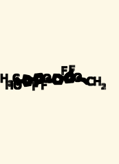 C=CCCOc1ccc(C2CCC(COc3ccc(-c4ccc(C(C)O)cc4)c(F)c3F)CC2)c(F)c1F